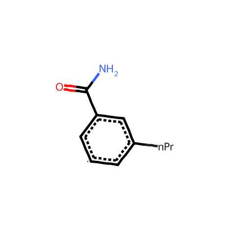 CCCc1c[c]cc(C(N)=O)c1